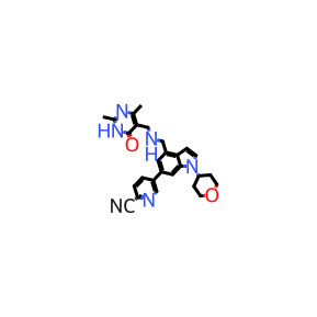 Cc1nc(C)c(CNCc2cc(-c3ccc(C#N)nc3)cc3c2ccn3C2CCOCC2)c(=O)[nH]1